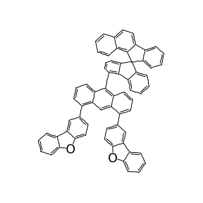 c1ccc2c(c1)-c1ccc3ccccc3c1C21c2ccccc2-c2c(-c3c4cccc(-c5ccc6oc7ccccc7c6c5)c4cc4c(-c5ccc6oc7ccccc7c6c5)cccc34)cccc21